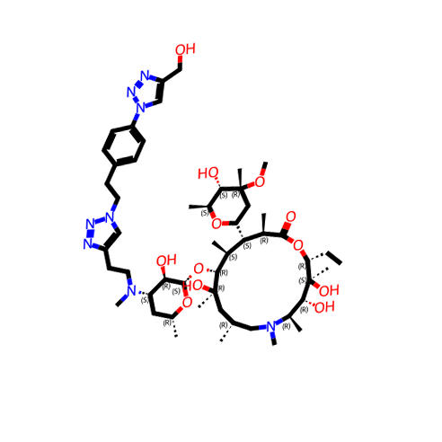 CC[C@H]1OC(=O)[C@H](C)[C@@H](C2C[C@@](C)(OC)[C@@H](O)[C@H](C)O2)[C@H](C)[C@@H](O[C@@H]2O[C@H](C)C[C@H](N(C)CCc3cn(CCc4ccc(-n5cc(CO)nn5)cc4)nn3)[C@H]2O)[C@](C)(O)C[C@@H](C)CN(C)[C@H](C)[C@@H](O)[C@]1(C)O